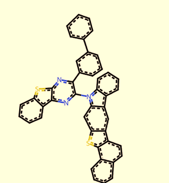 c1ccc(-c2cccc(-c3nc4sc5ccccc5c4nc3-n3c4ccccc4c4cc5c(cc43)sc3c4ccccc4ccc53)c2)cc1